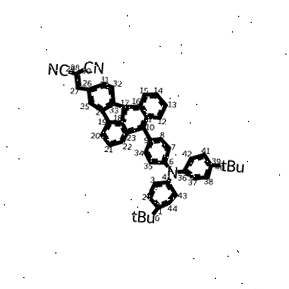 CC(C)(C)c1ccc(N(c2ccc(-c3c4ccccc4c4c5c(cccc35)-c3cc(C=C(C#N)C#N)ccc3-4)cc2)c2ccc(C(C)(C)C)cc2)cc1